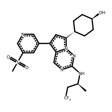 C[C@@H](CC(F)(F)F)Nc1ncc2c(-c3cncc(S(C)(=O)=O)c3)cc([C@H]3CC[C@H](O)CC3)n2n1